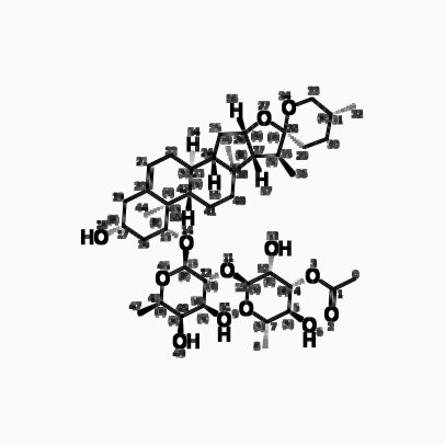 CC(=O)O[C@@H]1[C@@H](O)[C@H](C)O[C@@H](O[C@H]2[C@H](O[C@@H]3C[C@H](O)CC4=CC[C@H]5[C@@H]6C[C@@H]7O[C@]8(CC[C@@H](C)CO8)[C@@H](C)[C@@H]7[C@@]6(C)CC[C@@H]5[C@]43C)O[C@H](C)[C@H](O)[C@@H]2O)[C@@H]1O